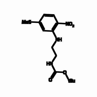 CSc1ccc([N+](=O)[O-])c(NCCNC(=O)OC(C)(C)C)c1